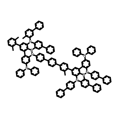 Cc1cc(-c2ccc(-c3ccc(N4B5c6cc(-c7ccccc7)ccc6N(c6cc(-c7ccccc7)ccc6C)c6cc(-c7c(C)cccc7C)cc(c65)-c5ccc(N(c6ccccc6)c6ccccc6)cc54)cc3)cc2)ccc1-c1cc2c3c(c1)N(c1ccc(-c4ccccc4)cc1)c1ccc(-c4ccccc4)cc1B3N(c1ccc(-c3ccccc3)cc1)c1ccc(N(c3ccccc3)c3ccccc3)cc1-2